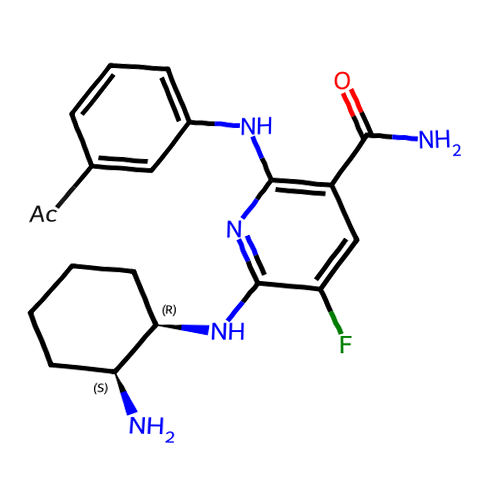 CC(=O)c1cccc(Nc2nc(N[C@@H]3CCCC[C@@H]3N)c(F)cc2C(N)=O)c1